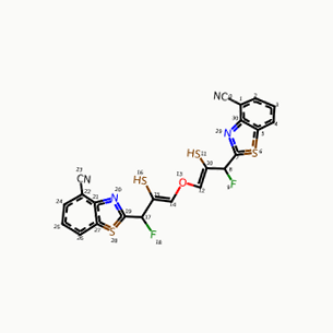 N#Cc1cccc2sc(C(F)C(S)=COC=C(S)C(F)c3nc4c(C#N)cccc4s3)nc12